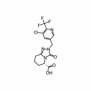 O=C(O)[C@@H]1CCCc2nn(Cc3cnc(C(F)(F)F)c(Cl)c3)c(=O)n21